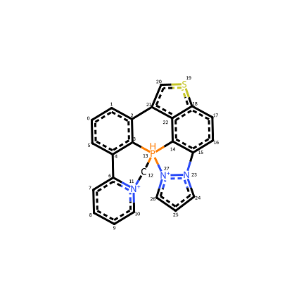 c1cc2c3c(c1)-c1cccc[n+]1C[PH]31c3c(ccc4scc-2c34)-n2ccc[n+]21